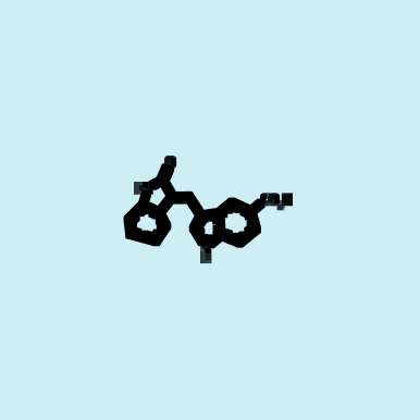 O=C1Nc2ccccc2C1=Cc1c[nH]c2ccc(C(=O)O)cc12